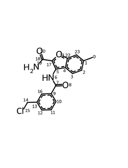 Cc1ccc2c(NC(=O)c3cccc(CCl)c3)c(C(N)=O)oc2c1